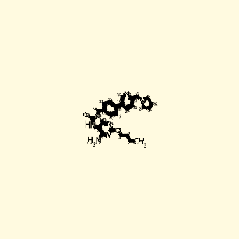 CCCCOc1nc(N)c2[nH]c(=O)n(Cc3ccc(-c4ccc(CN5CCCC5)nc4)cc3)c2n1